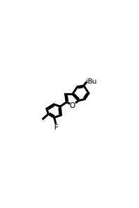 CCC(C)c1ccc2oc(-c3ccc(C)c(F)c3)cc2c1